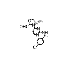 CC(C)[C@H]1COC(C=O)N1c1ccnc(N[C@@H](C)c2ccc(Cl)cc2)n1